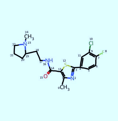 Cc1nc(-c2ccc(F)c(Cl)c2)sc1C(=O)NCCC1CCCN1C